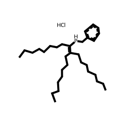 CCCCCCCCC(CCCCCCCC)=C(CCCCCCCC)PCc1ccccc1.Cl